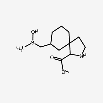 CB(O)CC1CCCC2(CCNC2C(=O)O)C1